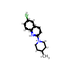 CC1CCN(c2ccc3cc(Br)ccc3n2)CC1